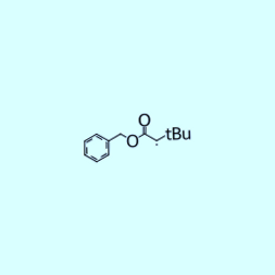 CC(C)(C)[CH]C(=O)OCc1ccccc1